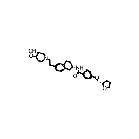 COC1CCN(CCc2ccc3c(c2)CC[C@H](NC(=O)c2ccc(OC[C@@H]4CCCO4)cc2)C3)CC1